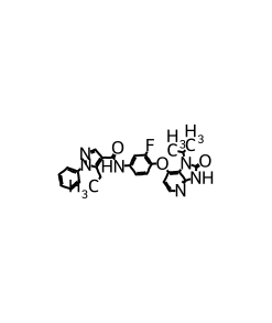 CCc1c(C(=O)Nc2ccc(Oc3ccnc4[nH]c(=O)n(C(C)C)c34)c(F)c2)cnn1-c1ccccc1